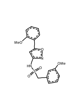 COc1cccc(CS(=O)(=O)Nc2cc(-c3ccccc3OC)on2)c1